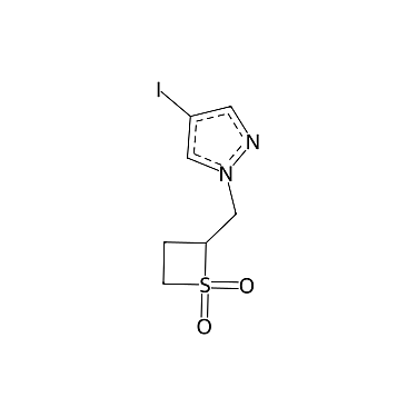 O=S1(=O)CCC1Cn1cc(I)cn1